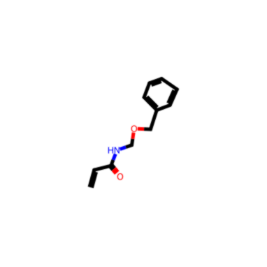 C=CC(=O)NCOCc1ccccc1